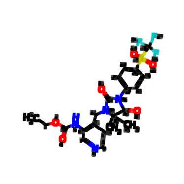 CCOC(=O)Nc1cnccc1CN1C(=O)N(c2ccc(S(=O)(=O)C(F)(F)F)cc2)C(=O)C1(C)C